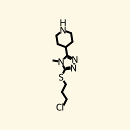 Cn1c(SCCCCl)nnc1C1CCNCC1